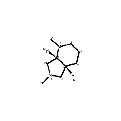 CN1C[C@H]2CCCN(C)[C@H]2C1